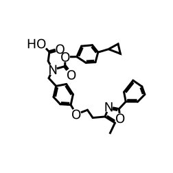 Cc1oc(-c2ccccc2)nc1CCOc1ccc(CN(CC(=O)O)C(=O)Oc2ccc(C3CC3)cc2)cc1